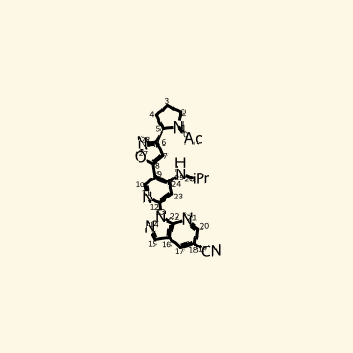 CC(=O)N1CCC[C@@H]1c1cc(-c2cnc(-n3ncc4cc(C#N)cnc43)cc2NC(C)C)on1